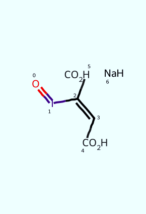 O=I/C(=C\C(=O)O)C(=O)O.[NaH]